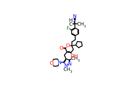 Cc1nn(C)c(N2CCOCC2)c1CC1=C(O)CC(CCc2ccc(C(C)(C)C#N)c(F)c2)(C2CCCC2)OC1=O